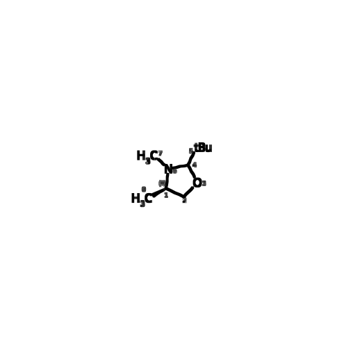 C[C@@H]1COC(C(C)(C)C)N1C